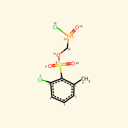 Cc1cccc(Cl)c1S(=O)(=O)OC[PH](=O)Cl